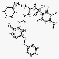 COc1cc(C)c(S(=O)(=O)NC(N)=NCCC[C@H](NC(=O)OCc2ccccc2)C(=O)O)c(C)c1C.NC1CCCCC1